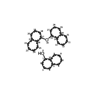 Oc1cccc2ccccc12.c1ccc2c(Oc3cccc4ccccc34)cccc2c1